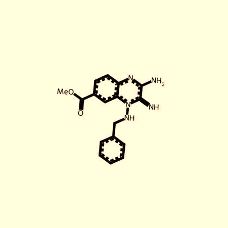 COC(=O)c1ccc2nc(N)c(=N)n(NCc3ccccc3)c2c1